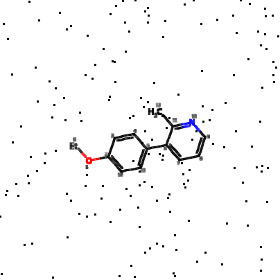 CCOc1ccc(-c2cccnc2C)cc1